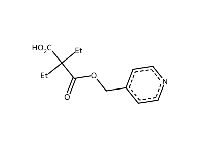 CCC(CC)(C(=O)O)C(=O)OCc1ccncc1